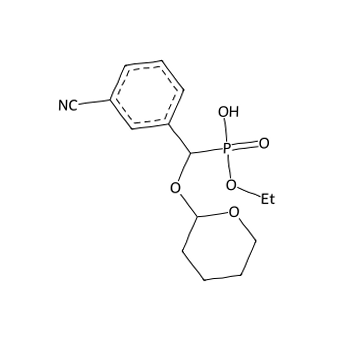 CCOP(=O)(O)C(OC1CCCCO1)c1cccc(C#N)c1